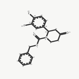 O=C1CCN(C(=O)OCc2ccccc2)C(c2ccc(F)c(F)c2)C1